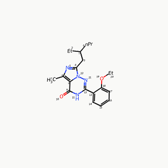 CCCC(CC)Cc1nc(C)c2c(=O)[nH]c(-c3ccccc3OCC)nn12